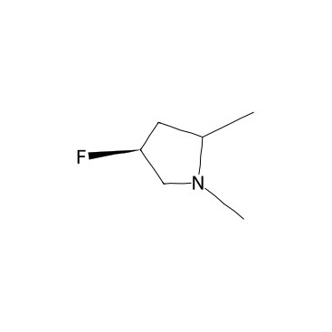 CC1C[C@H](F)CN1C